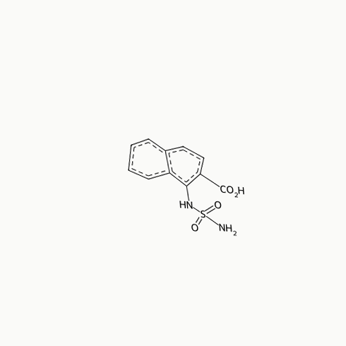 NS(=O)(=O)Nc1c(C(=O)O)ccc2ccccc12